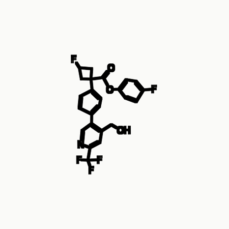 O=C(Oc1ccc(F)cc1)C1(c2ccc(-c3cnc(C(F)(F)F)cc3CO)cc2)CC(F)C1